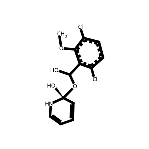 COc1c(Cl)ccc(Cl)c1C(O)O[C@]1(O)C=CC=CN1